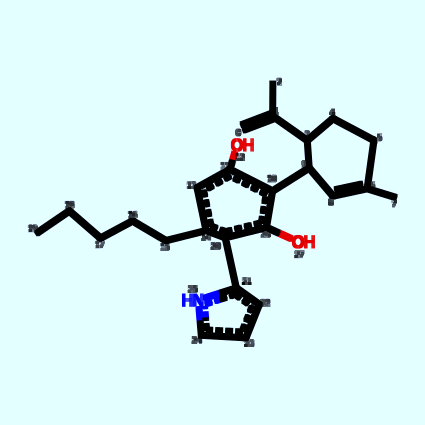 C=C(C)C1CCC(C)=CC1c1c(O)cc(CCCCC)c(-c2ccc[nH]2)c1O